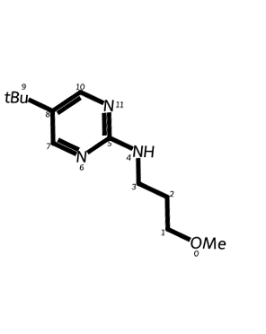 COCCCNc1ncc(C(C)(C)C)cn1